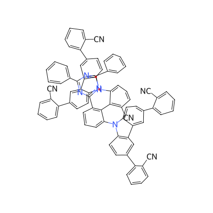 N#Cc1ccccc1-c1ccc2c(c1)c1cc(-c3ccccc3C#N)ccc1n2-c1cccc(C#N)c1-c1c(-c2nc(-c3ccccc3)nc(-c3ccccc3)n2)cccc1-n1c2ccc(-c3ccccc3C#N)cc2c2cc(-c3ccccc3C#N)ccc21